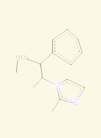 CNC.Cc1nccn1C(C)C(C)c1ccccc1